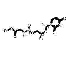 CC[C@@H](CO[PH](=O)NCC(=O)OC(C)C)O[C@H](C)n1ccc(=O)[nH]c1=O